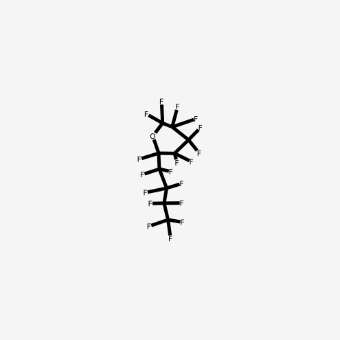 FC(F)(F)C(F)(F)C(F)(F)C(F)(F)C1(F)OC(F)(F)C(F)(F)C(F)(F)C1(F)F